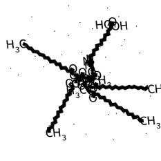 CCCCCCCCCCCCCCCCCC(=O)OCC(C)(COC(=O)CCCCCCCCCCCCCCCCC)C(=O)OCC(C)(COC(=O)C(C)(COC(=O)CCCCCCCCCCCCCCCCC)COC(=O)CCCCCCCCCCCCCCCCC)C(=O)OCc1cn(CCCCCCCCCCCCP(=O)(O)O)nn1